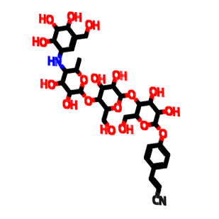 CC1OC(OC2C(CO)OC(OC3C(CO)OC(Oc4ccc(/C=C/C#N)cc4)C(O)C3O)C(O)C2O)C(O)C(O)C1NC1C=C(CO)C(O)C(O)C1O